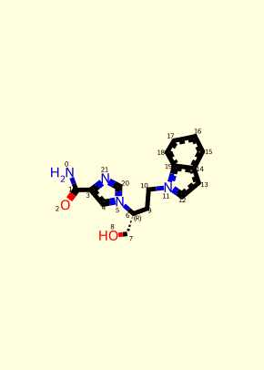 NC(=O)c1cn([C@@H](CO)CCn2ccc3ccccc32)cn1